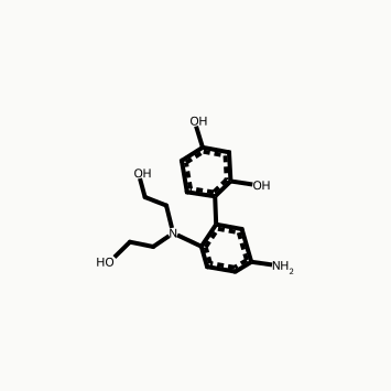 Nc1ccc(N(CCO)CCO)c(-c2ccc(O)cc2O)c1